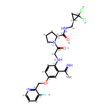 CC(=O)C(=N)c1cc(OCc2ncccc2F)ccc1NCC(=O)N1CCC[C@H]1C(=O)NC[C@H]1CC1(Cl)Cl